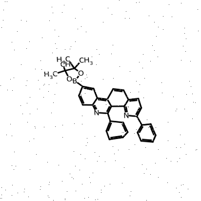 CC1(C)OB(c2ccc3nc(-c4ccccc4)c4c(ccc5ccc(-c6ccccc6)nc54)c3c2)OC1(C)C